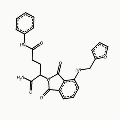 NC(=O)C(CCC(=O)Nc1ccccc1)N1C(=O)c2cccc(NCc3ccco3)c2C1=O